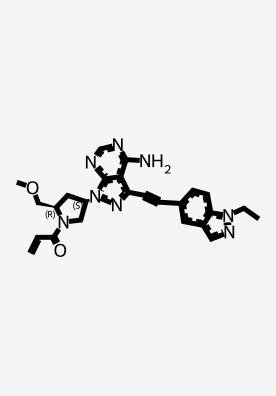 C=CC(=O)N1C[C@@H](n2nc(C#Cc3ccc4c(cnn4CC)c3)c3c(N)ncnc32)C[C@@H]1COC